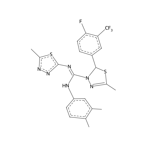 CC1=NN(/C(=N/c2nnc(C)s2)Nc2ccc(C)c(C)c2)C(c2ccc(F)c(C(F)(F)F)c2)S1